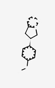 COc1ccc([C@H]2Cc3nnnn3C2)cc1